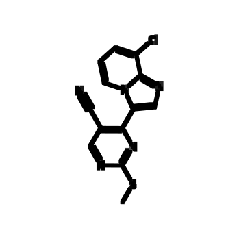 CSc1ncc(C#N)c(-c2cnc3c(Cl)cccn23)n1